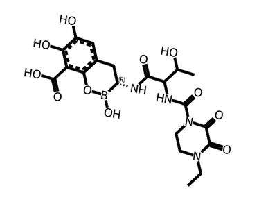 CCN1CCN(C(=O)NC(C(=O)N[C@H]2Cc3cc(O)c(O)c(C(=O)O)c3OB2O)C(C)O)C(=O)C1=O